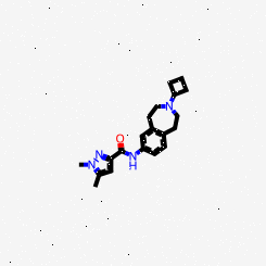 Cc1cc(C(=O)Nc2ccc3c(c2)CCN(C2CCC2)CC3)nn1C